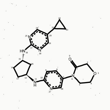 O=C1COCCN1c1ccc(N[C@H]2CC[C@H](Nc3ncc(C4CC4)cn3)C2)nc1